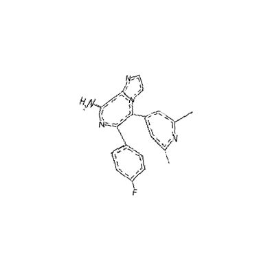 Cc1cc(-c2c(-c3ccc(F)cc3)nc(N)c3nccn23)cc(C)n1